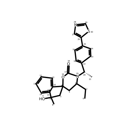 CCC1CC(CC(C)(C)O)(c2ccccc2)OC(=O)N1[C@@H](C)c1ccc(-c2cncs2)cc1